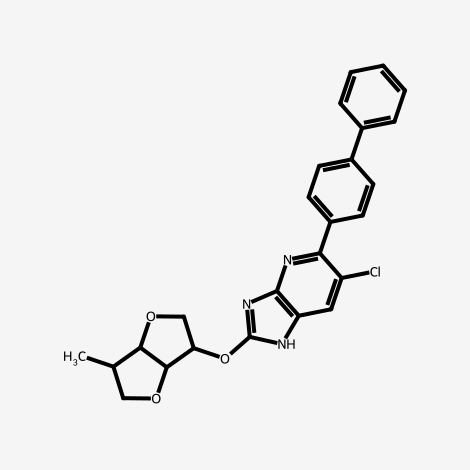 CC1COC2C(Oc3nc4nc(-c5ccc(-c6ccccc6)cc5)c(Cl)cc4[nH]3)COC12